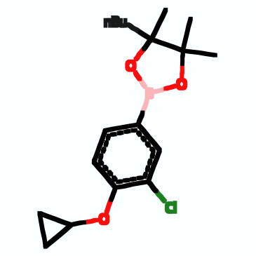 CCCCC1(C)OB(c2ccc(OC3CC3)c(Cl)c2)OC1(C)C